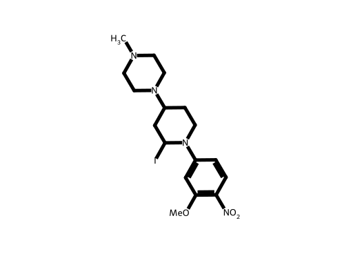 COc1cc(N2CCC(N3CCN(C)CC3)CC2I)ccc1[N+](=O)[O-]